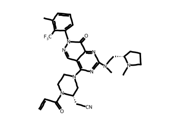 C=CC(=O)N1CCN(c2nc(N(C)C[C@@H]3CCCN3C)nc3c(=O)n(-c4cccc(C)c4C(F)(F)F)ncc23)C[C@@H]1CC#N